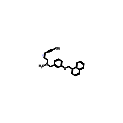 CN(C/C=C\C#CC(C)(C)C)Cc1cccc(OCc2cccc3ccccc23)c1